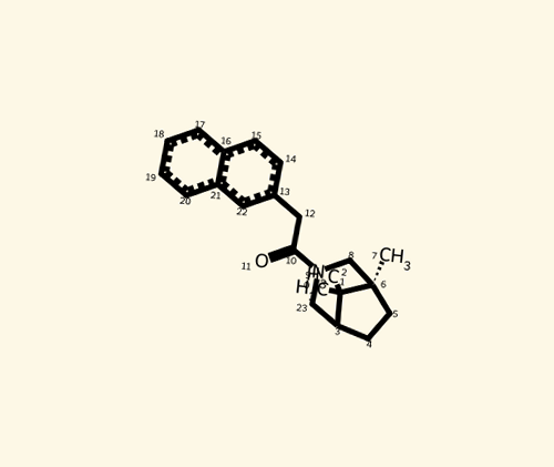 CC1(C)C2CC[C@]1(C)CN(C(=O)Cc1ccc3ccccc3c1)C2